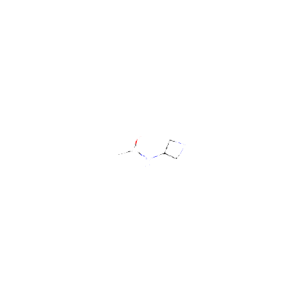 CB(O)NC1CNC1